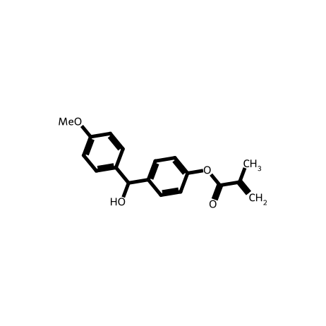 C=C(C)C(=O)Oc1ccc(C(O)c2ccc(OC)cc2)cc1